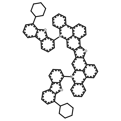 c1cc(C2CCCCC2)c2oc3c(-n4c5ccccc5c5cccc6c7oc8c(cc9c%10c(cccc8%10)c8ccccc8n9-c8cccc9c8oc8c(C%10CCCCC%10)cccc89)c7cc4c56)cccc3c2c1